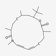 CC1CCC(C)C(=O)N(C)/C=C\C=C/CCC(C)C(=O)OC(C(C)(C)C)C1